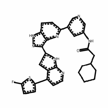 O=C(CC1CCCCC1)Nc1cncc(-c2ccc3[nH]nc(-c4cc5c(-c6ccc(F)s6)ccnc5[nH]4)c3n2)c1